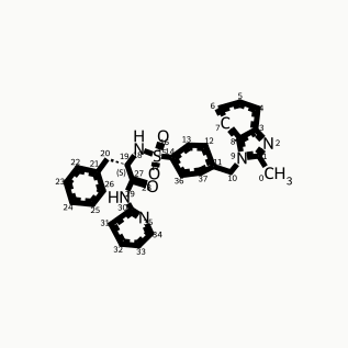 Cc1nc2ccccc2n1Cc1ccc(S(=O)(=O)N[C@@H](Cc2ccccc2)C(=O)Nc2ccccn2)cc1